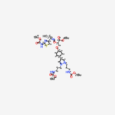 CC(C)(C)OC(=O)NCCCn1cc(-c2ccc(OCC(ON=C(C(=O)O)c3csc(NC(=O)OC(C)(C)C)n3)C(=O)OC(C)(C)C)cc2)c[n+]1CCCNC(=O)OC(C)(C)C